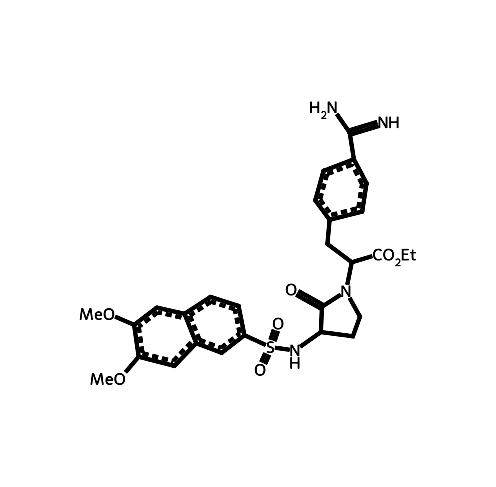 CCOC(=O)C(Cc1ccc(C(=N)N)cc1)N1CCC(NS(=O)(=O)c2ccc3cc(OC)c(OC)cc3c2)C1=O